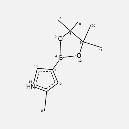 Cc1cc(B2OC(C)(C)C(C)(C)O2)c[nH]1